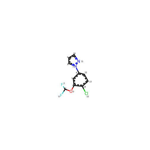 FC(F)Oc1cc(-n2cccn2)ccc1Cl